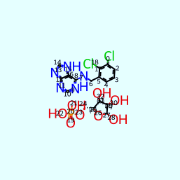 Clc1cccc(CNc2ncnc3nc[nH]c23)c1Cl.O=P(O)(O)OC[C@H]1OC(O)[C@H](O)[C@@H]1O